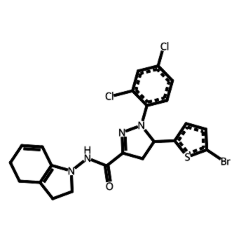 O=C(NN1CCC2=C1C=CCC2)C1=NN(c2ccc(Cl)cc2Cl)C(c2ccc(Br)s2)C1